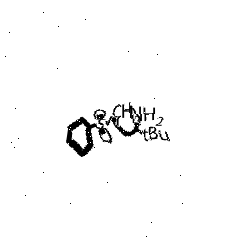 CN(C[C@@H](N)C(C)(C)C)S(=O)(=O)c1ccccc1